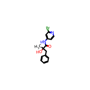 CC(O)(Cc1ccccc1)C(=O)Nc1ccnc(Br)c1